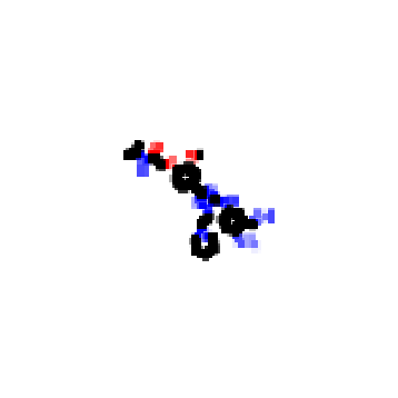 COc1cc(-c2nc(Nc3ccc(N)c(C=N)c3)n(CCN3CCCCC3)n2)ccc1OCC(=O)NC(C)C